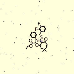 CCOC(=O)CN(/C(SCc1cccc(F)c1F)=C1/C(=O)C=CC(C)(C)CC1=O)c1ccccc1